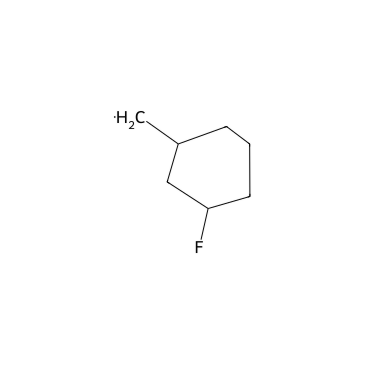 [CH2]C1CCCC(F)C1